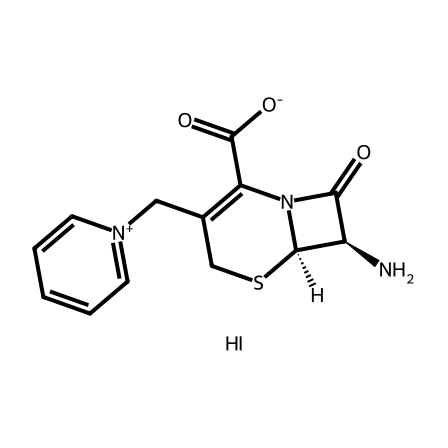 I.N[C@@H]1C(=O)N2C(C(=O)[O-])=C(C[n+]3ccccc3)CS[C@H]12